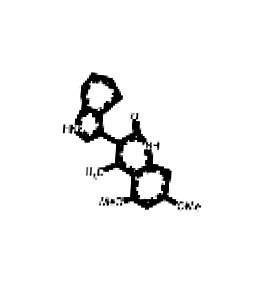 COc1cc(OC)c2c(C)c(-c3c[nH]c4ccccc34)c(=O)[nH]c2c1